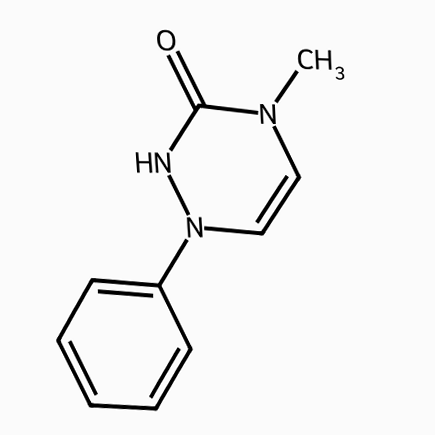 CN1C=CN(c2ccccc2)NC1=O